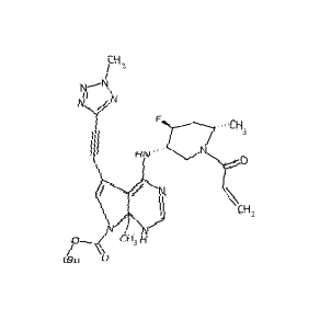 C=CC(=O)N1C[C@H](NC2=C3C(C#Cc4nnn(C)n4)=CN(C(=O)OC(C)(C)C)C3(C)NC=N2)[C@@H](F)C[C@@H]1C